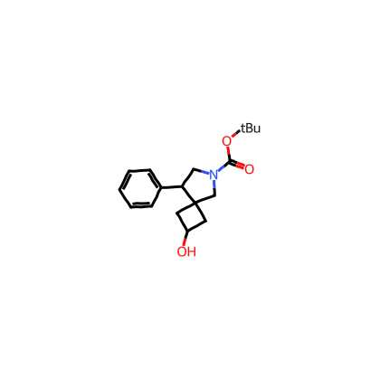 CC(C)(C)OC(=O)N1CC(c2ccccc2)C2(CC(O)C2)C1